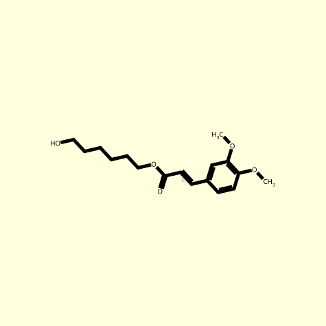 COc1ccc(/C=C/C(=O)OCCCCCCO)cc1OC